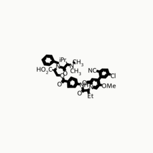 CCC(C(=O)Nc1ccc(C(=O)OC[C@@H](C(=O)O)N(Cc2ccccc2)C(=O)[C@H](C(C)C)N(C)C)cc1)n1cc(OC)c(-c2cc(Cl)ccc2C#N)cc1=O